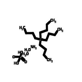 CCCC[N+](CCCC)(CCCC)CCCC.N.O.O.O=P([O-])(O)O